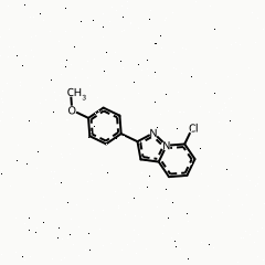 COc1ccc(-c2cc3cccc(Cl)n3n2)cc1